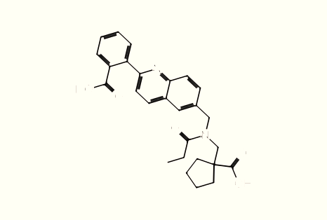 CCC(=O)N(Cc1ccc2nc(-c3ccccc3C(=O)O)ccc2c1)CC1(C(=O)O)CCCC1